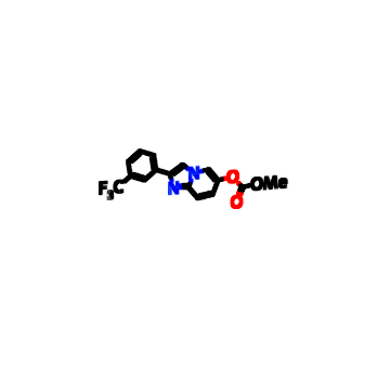 COC(=O)Oc1ccc2nc(-c3cccc(C(F)(F)F)c3)cn2c1